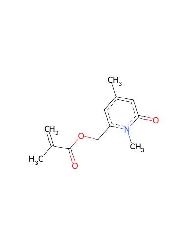 C=C(C)C(=O)OCc1cc(C)cc(=O)n1C